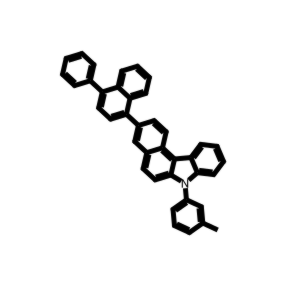 Cc1cccc(-n2c3ccccc3c3c4ccc(-c5ccc(-c6ccccc6)c6ccccc56)cc4ccc32)c1